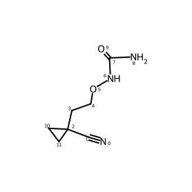 N#CC1(CCONC(N)=O)CC1